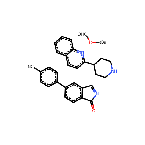 CC(C)(C)OC=O.N#Cc1ccc(-c2ccc3c(c2)C=NC3=O)cc1.c1ccc2nc(C3CCNCC3)ccc2c1